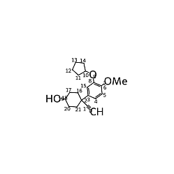 C#CC1(c2ccc(OC)c(OC3CCCC3)c2)CCC(O)CC1